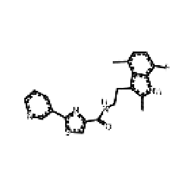 Cc1[nH]c2c(F)ccc(C)c2c1CCNC(=O)c1csc(-c2cccnc2)n1